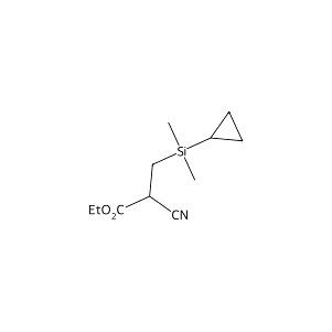 CCOC(=O)C(C#N)C[Si](C)(C)C1CC1